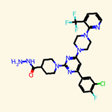 NNC(=O)C1CCN(c2nc(-c3ccc(F)c(Cl)c3)cc(N3CCN(c4ncccc4C(F)(F)F)CC3)n2)CC1